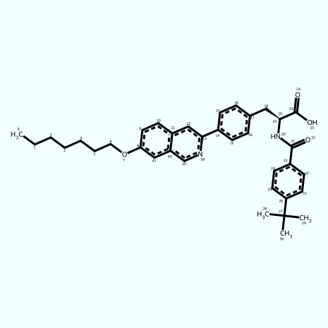 CCCCCCCOc1ccc2cc(-c3ccc(C[C@H](NC(=O)c4ccc(C(C)(C)C)cc4)C(=O)O)cc3)ncc2c1